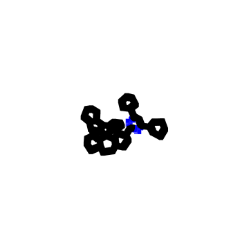 C1=Cc2ccc(-c3nc(-c4ccccc4)cc(-c4ccccc4)n3)cc2C2(c3ccccc31)c1ccccc1-c1c2ccc2ccccc12